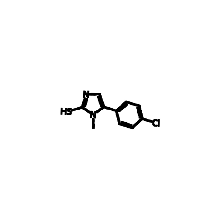 Cn1c(-c2ccc(Cl)cc2)cnc1S